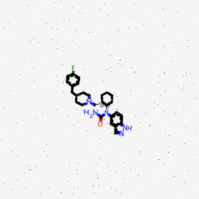 NC(=O)N(c1ccc2[nH]ncc2c1)[C@@H]1CCCC[C@H]1CN1CCC(Cc2ccc(F)cc2)CC1